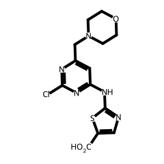 O=C(O)c1cnc(Nc2cc(CN3CCOCC3)nc(Cl)n2)s1